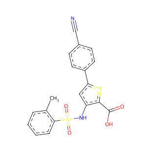 Cc1ccccc1S(=O)(=O)Nc1cc(-c2ccc(C#N)cc2)sc1C(=O)O